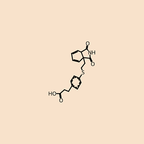 O=C(O)CCc1ccc(SCCC23C=CC=CC2C(=O)NC3=O)cc1